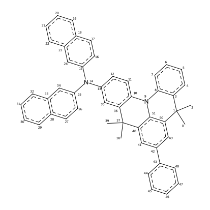 CC1(C)c2ccccc2N2c3ccc(N(c4ccc5ccccc5c4)c4ccc5ccccc5c4)cc3C(C)(C)c3cc(-c4ccccc4)cc1c32